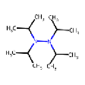 CC(C)N(C(C)C)N(C(C)C)C(C)C